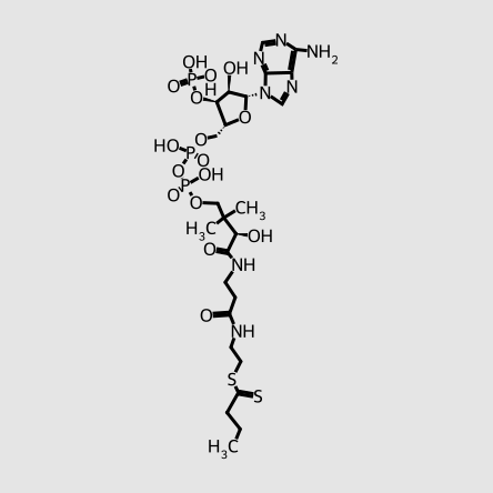 CCCC(=S)SCCNC(=O)CCNC(=O)[C@H](O)C(C)(C)COP(=O)(O)OP(=O)(O)OC[C@H]1O[C@@H](n2cnc3c(N)ncnc32)[C@H](O)[C@@H]1OP(=O)(O)O